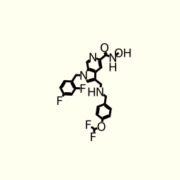 O=C(NO)c1cc2c(CNCc3ccc(OC(F)F)cc3)cn(Cc3ccc(F)cc3F)c2cn1